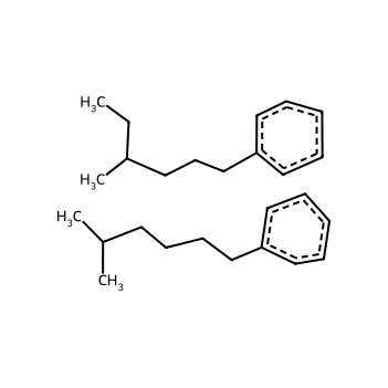 CC(C)CCCCc1ccccc1.CCC(C)CCCc1ccccc1